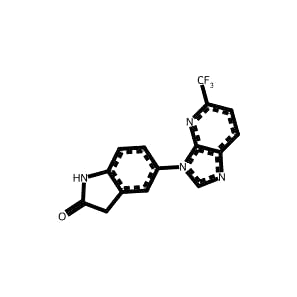 O=C1Cc2cc(-n3cnc4ccc(C(F)(F)F)nc43)ccc2N1